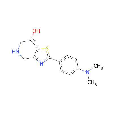 CN(C)c1ccc(-c2nc3c(s2)[C@@H](O)CNC3)cc1